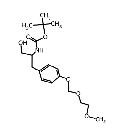 COCCOCOc1ccc(CC(CO)NC(=O)OC(C)(C)C)cc1